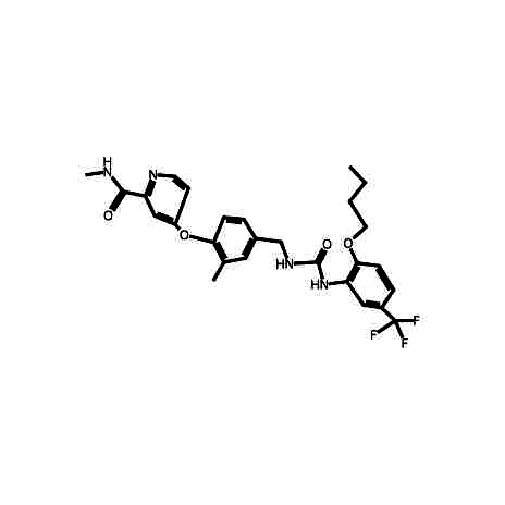 CCCCOc1ccc(C(F)(F)F)cc1NC(=O)NCc1ccc(Oc2ccnc(C(=O)NC)c2)c(C)c1